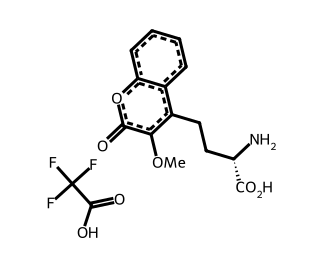 COc1c(CC[C@H](N)C(=O)O)c2ccccc2oc1=O.O=C(O)C(F)(F)F